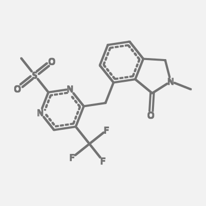 CN1Cc2cccc(Cc3nc(S(C)(=O)=O)ncc3C(F)(F)F)c2C1=O